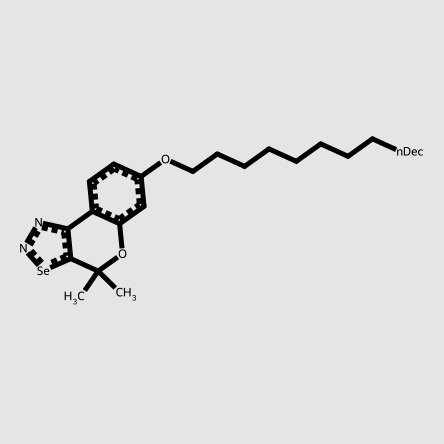 CCCCCCCCCCCCCCCCCCOc1ccc2c(c1)OC(C)(C)c1[se]nnc1-2